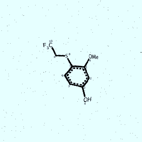 COc1cc(O)ccc1SCC(F)(F)F